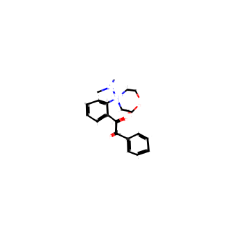 CN(C)[N+]1(c2ccccc2C(=O)C(=O)c2ccccc2)CCOCC1